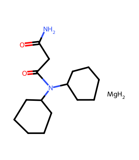 NC(=O)CC(=O)N(C1CCCCC1)C1CCCCC1.[MgH2]